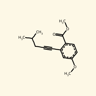 COC(=O)c1ccc(OC)cc1C#CCC(C)C